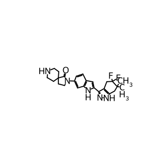 CC1(C)Cc2[nH]nc(-c3cc4ccc(N5CCC6(CCNCC6)C5=O)cc4[nH]3)c2CC1(F)F